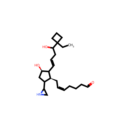 CCC1(C(O)C/C=C/C2[C@@H](C/C=C\CCCC=O)C(C3CN3)C[C@H]2O)CCC1